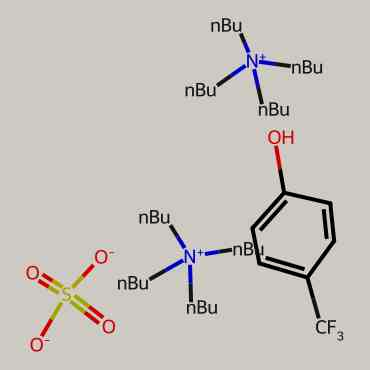 CCCC[N+](CCCC)(CCCC)CCCC.CCCC[N+](CCCC)(CCCC)CCCC.O=S(=O)([O-])[O-].Oc1ccc(C(F)(F)F)cc1